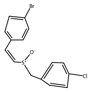 [O-][S+](/C=C\c1ccc(Br)cc1)Cc1ccc(Cl)cc1